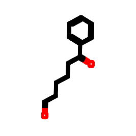 O=CCCCCC(=O)c1ccccc1